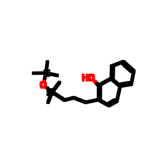 C[Si](C)(C)O[Si](C)(C)CCCc1ccc2ccccc2c1O